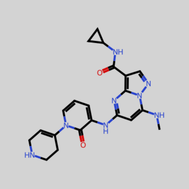 CNc1cc(Nc2cccn(C3=CCNCC3)c2=O)nc2c(C(=O)NC3CC3)cnn12